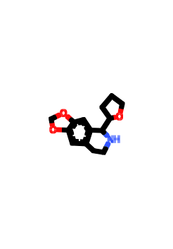 c1c2c(cc3c1OCO3)C(C1CCCO1)NCC2